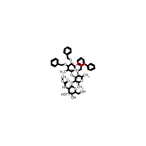 COC(=O)NC1[C@H](OC2[C@H](C)OC(C)[C@H](OCc3ccccc3)[C@@H]2O[C@H]2O[C@@H](COCc3ccccc3)[C@@H](OCc3ccccc3)C(OCc3ccccc3)C2C)OC(CO)[C@@H](O)[C@@H]1O